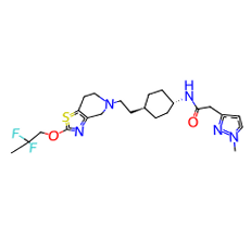 Cn1ccc(CC(=O)N[C@H]2CC[C@H](CCN3CCc4sc(OCC(C)(F)F)nc4C3)CC2)n1